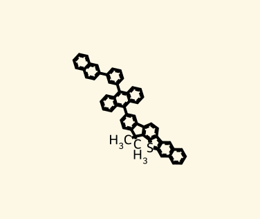 CC1(C)c2ccc(-c3c4ccccc4c(-c4cccc(-c5ccc6ccccc6c5)c4)c4ccccc34)cc2-c2ccc3c(sc4cc5ccccc5cc43)c21